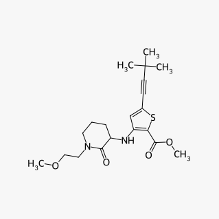 COCCN1CCCC(Nc2cc(C#CC(C)(C)C)sc2C(=O)OC)C1=O